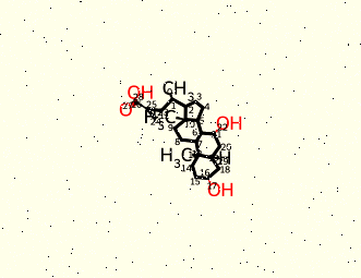 C[C@@H](C1CCC2C3C(CC[C@@]21C)[C@@]1(C)CC[C@@H](O)C[C@H]1C[C@H]3O)[C@@H]1C[C@H]1C(=O)O